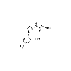 CC(C)(C)OC(=O)N[C@H]1CCN(c2ccc(C(F)(F)F)cc2C=O)C1